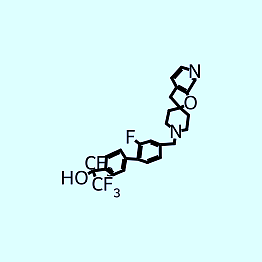 OC(c1ccc(-c2ccc(CN3CCC4(CC3)Cc3ccncc3O4)cc2F)cc1)(C(F)(F)F)C(F)(F)F